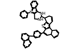 C1=CC2C=C(c3ccc(-c4cccc5ccccc45)cc3)c3sc4c(c3C2C=C1)C=CCC4C1NCc2c(c3ccccc3n2-c2ccccc2)N1